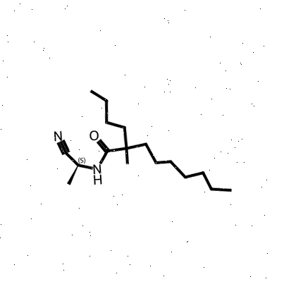 CCCCCCCC(C)(CCCC)C(=O)N[C@@H](C)C#N